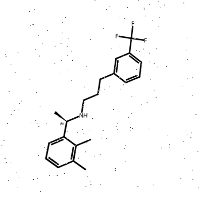 Cc1cccc([C@@H](C)NCCCc2cccc(C(F)(F)F)c2)c1C